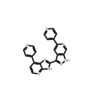 c1cc(-c2cc3c(-c4nc5c(-c6ccncc6)ccnc5[nH]4)n[nH]c3cn2)ccn1